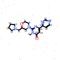 Cn1c(N2CCOC(CN3CCCC3)C2)nc(-c2ccncn2)cc1=O